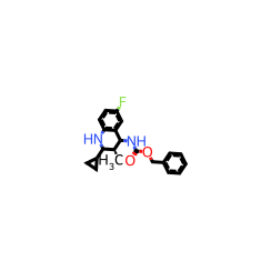 C[C@@H]1C(NC(=O)OCc2ccccc2)c2cc(F)ccc2NC1C1CC1